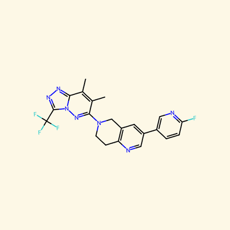 Cc1c(N2CCc3ncc(-c4ccc(F)nc4)cc3C2)nn2c(C(F)(F)F)nnc2c1C